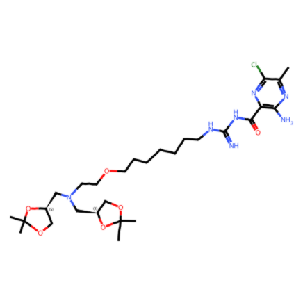 Cc1nc(N)c(C(=O)NC(=N)NCCCCCCCOCCN(C[C@H]2COC(C)(C)O2)C[C@H]2COC(C)(C)O2)nc1Cl